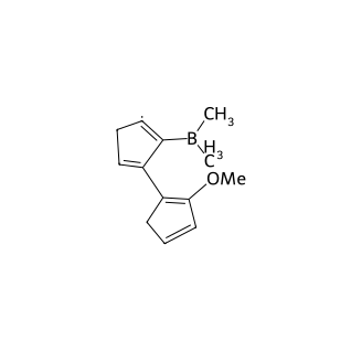 COC1=C(C2=CC[C]=C2B(C)C)CC=C1